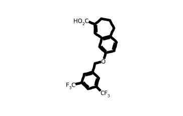 O=C(O)C1=Cc2cc(OCc3cc(C(F)(F)F)cc(C(F)(F)F)c3)ccc2CCC1